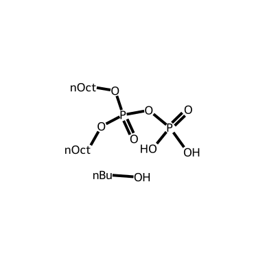 CCCCCCCCOP(=O)(OCCCCCCCC)OP(=O)(O)O.CCCCO